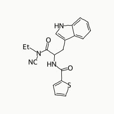 CCN(C#N)C(=O)C(Cc1c[nH]c2ccccc12)NC(=O)c1cccs1